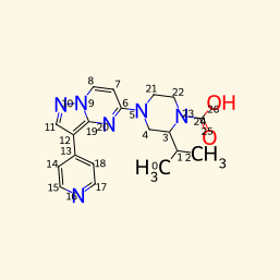 CC(C)C1CN(c2ccn3ncc(-c4ccncc4)c3n2)CCN1C(=O)O